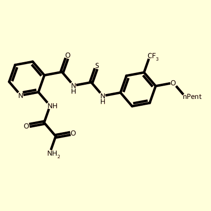 CCCCCOc1ccc(NC(=S)NC(=O)c2cccnc2NC(=O)C(N)=O)cc1C(F)(F)F